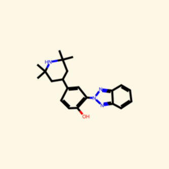 CC1(C)CC(c2ccc(O)c(-n3nc4ccccc4n3)c2)CC(C)(C)N1